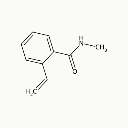 C=Cc1ccccc1C(=O)NC